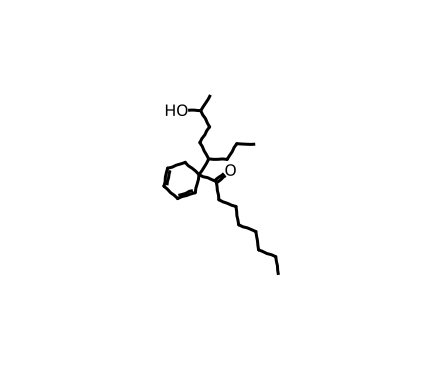 CCCCCCCC(=O)C1(C(CCC)CCC(C)O)C=CC=CC1